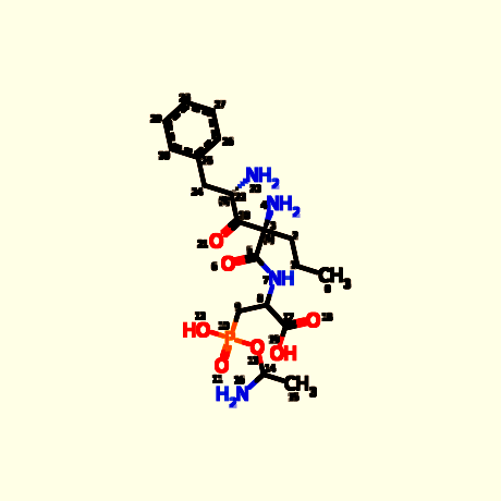 CCC[C@](N)(C(=O)NC(CP(=O)(O)OC(C)N)C(=O)O)C(=O)[C@@H](N)Cc1ccccc1